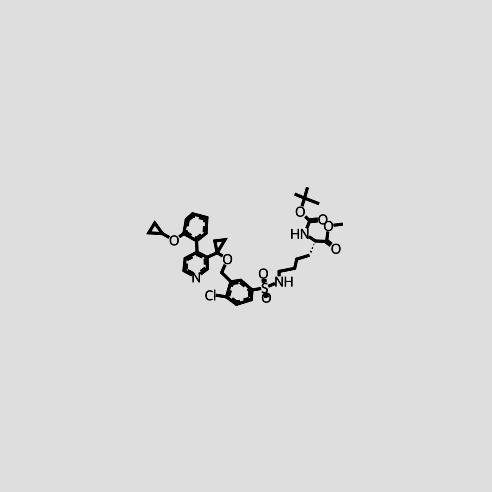 COC(=O)[C@H](CCCCNS(=O)(=O)c1ccc(Cl)c(COC2(c3cnccc3-c3ccccc3OC3CC3)CC2)c1)NC(=O)OC(C)(C)C